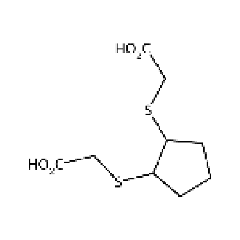 O=C(O)CSC1CCCC1SCC(=O)O